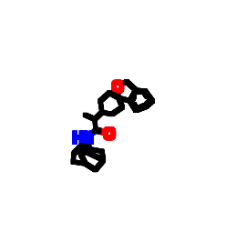 CC(C(=O)NC12CC3CC(CC(C3)C1)C2)C1CCC2(CC1)OCc1ccccc12